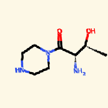 C[C@@H](O)[C@H](N)C(=O)N1CCNCC1